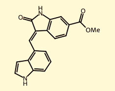 COC(=O)c1ccc2c(c1)NC(=O)/C2=C/c1cccc2[nH]ccc12